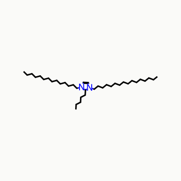 CCCCCCCCCCCCCCCCN1C=CN(CCCCCCCCCCCCCC)C1CCCCC